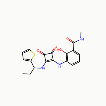 CCC(Nc1c(Nc2cccc(C(=O)NC)c2O)c(=O)c1=O)c1cccs1